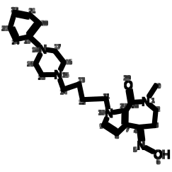 CN1CCC(=NO)c2ccn(CCCCN3CCN(c4ccccc4)CC3)c2C1=O